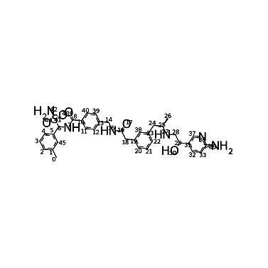 Cc1cccc(C(NC(=O)c2ccc(CNC(=O)Cc3cccc(C[C@@H](C)NC[C@H](O)c4ccc(N)nc4)c3)cc2)S(N)(=O)=O)c1